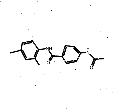 CC(=O)Nc1ccc(C(=O)Nc2ccc(C)cc2C)cc1